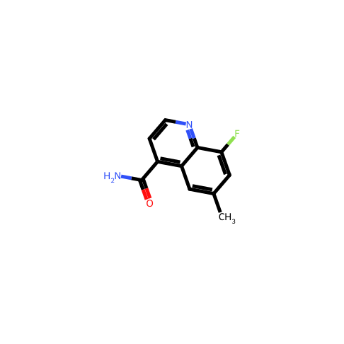 Cc1cc(F)c2nccc(C(N)=O)c2c1